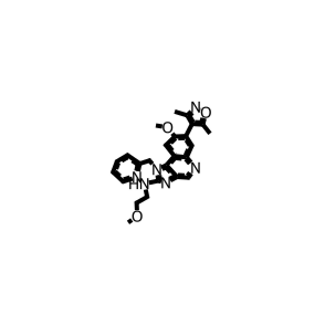 COCCNc1nc2cnc3cc(-c4c(C)noc4C)c(OC)cc3c2n1Cc1ccccn1